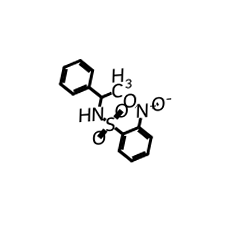 CC(NS(=O)(=O)c1ccccc1[N+](=O)[O-])c1ccccc1